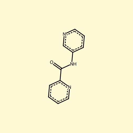 O=C(Nc1cccnc1)c1ccccn1